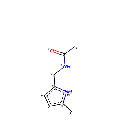 CC(=O)NCc1ccc(C)[nH]1